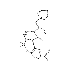 COC(=O)c1ccc2c(c1)C(c1cccn(Cc3ccccc3)c1=O)C(O)C(C)(C)O2